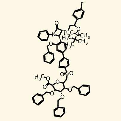 COC(=O)C1OC(CS(=O)(=O)c2ccc(-c3ccc([C@@H]4[C@@H](CC[C@H](O[Si](C)(C)C(C)(C)C)c5ccc(F)cc5)C(=O)N4c4ccccc4)c(OCc4ccccc4)c3)cc2)[C@@H](OCc2ccccc2)[C@H](OCc2ccccc2)[C@@H]1OCc1ccccc1